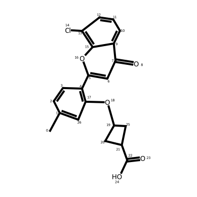 Cc1ccc(-c2cc(=O)c3cccc(Cl)c3o2)c(OC2CC(C(=O)O)C2)c1